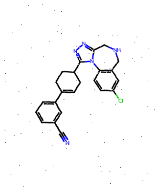 N#Cc1cccc(C2=CCC(c3nnc4n3-c3ccc(Cl)cc3CNC4)CC2)c1